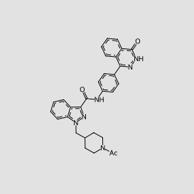 CC(=O)N1CCC(Cn2nc(C(=O)Nc3ccc(-c4n[nH]c(=O)c5ccccc45)cc3)c3ccccc32)CC1